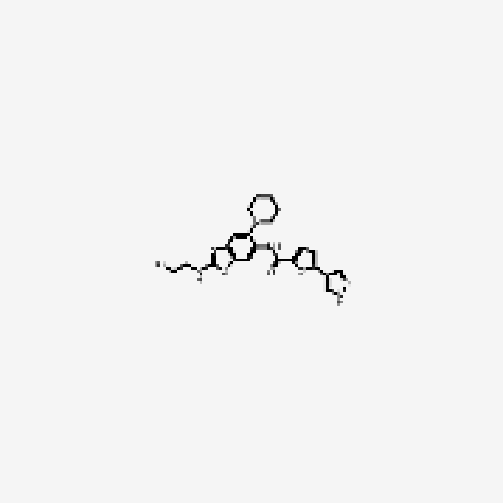 O=C(Nc1cc2oc(NCCO)nc2cc1N1CCCCC1)c1ccc(-c2cn[nH]c2)o1